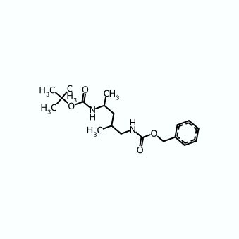 CC(CNC(=O)OCc1ccccc1)CC(C)NC(=O)OC(C)(C)C